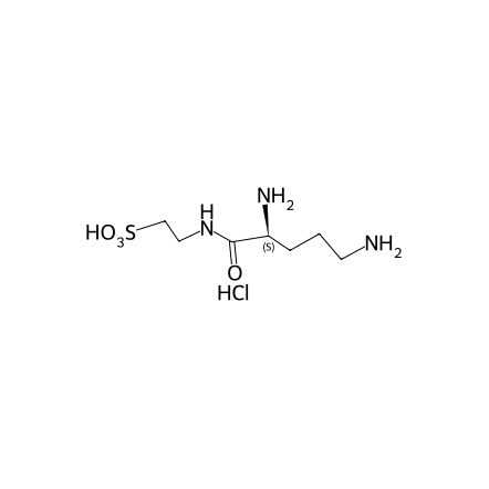 Cl.NCCC[C@H](N)C(=O)NCCS(=O)(=O)O